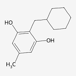 Cc1cc(O)c(CC2CCCCC2)c(O)c1